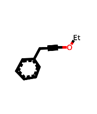 CCOC#CCc1ccccc1